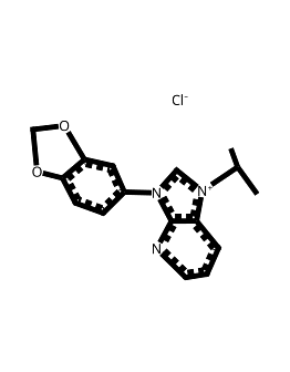 CC(C)[n+]1cn(-c2ccc3c(c2)OCO3)c2ncccc21.[Cl-]